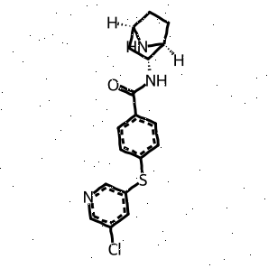 O=C(N[C@@H]1C[C@H]2CC[C@@H]1N2)c1ccc(Sc2cncc(Cl)c2)cc1